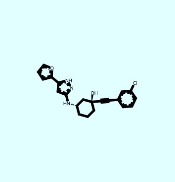 O[C@@]1(C#Cc2cccc(Cl)c2)CCC[C@H](Nc2cc(-c3ccco3)[nH]n2)C1